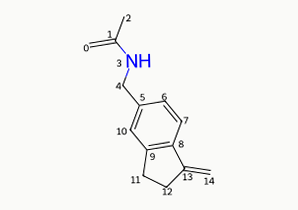 C=C(C)NCc1ccc2c(c1)CCC2=C